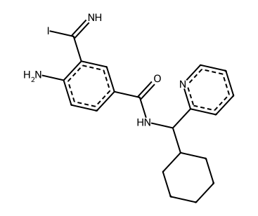 N=C(I)c1cc(C(=O)NC(c2ccccn2)C2CCCCC2)ccc1N